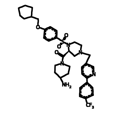 NC1CCN(C(=O)[C@@H]2CN(Cc3ccc(-c4ccc(C(F)(F)F)cc4)nc3)CCN2S(=O)(=O)c2ccc(OCC3CCCCC3)cc2)CC1